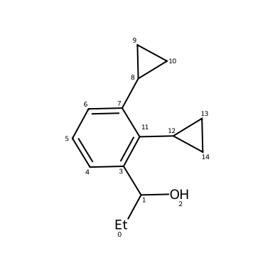 [CH2]CC(O)c1cccc(C2CC2)c1C1CC1